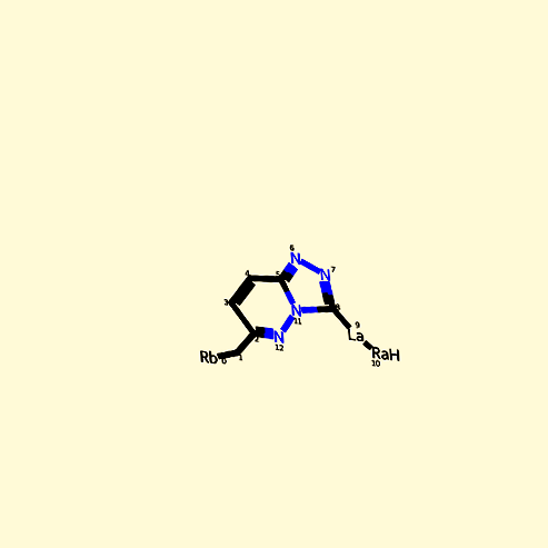 [Rb][CH2]c1ccc2nn[c]([La][RaH])n2n1